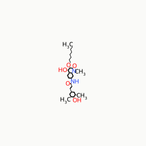 CCCCCCCCOc1c(O)c2ccc(NC(=O)/C=C/c3cc(C)c(O)c(C)c3)cc2n(C)c1=O